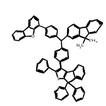 CC1(C)c2ccccc2-c2ccc(C(c3ccc(-c4c(-c5ccccc5)sc5c4-c4ccccc4C5(c4ccccc4)c4ccccc4)cc3)c3ccc(-c4cccc5c4oc4ccccc45)cc3)cc21